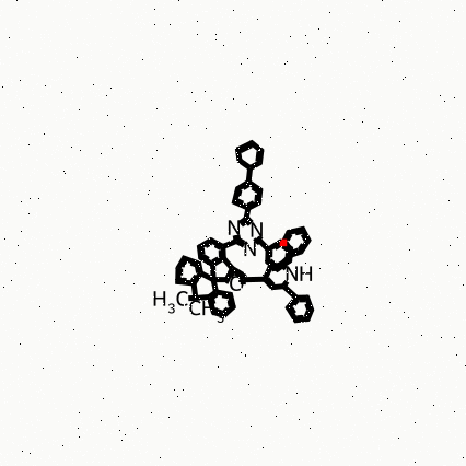 CC1(C)c2ccccc2C2(c3ccc(C4=CC(c5ccccc5)NC(c5ccccc5)=C4)cc3-c3c(-c4nc(-c5ccccc5)nc(-c5ccc(C6C=CC=CC6)cc5)n4)cccc32)c2ccccc21